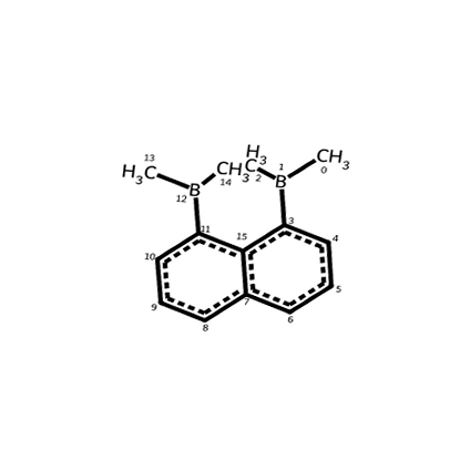 CB(C)c1cccc2cccc(B(C)C)c12